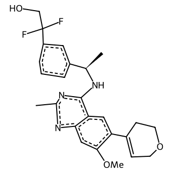 COc1cc2nc(C)nc(N[C@H](C)c3cccc(C(F)(F)CO)c3)c2cc1C1=CCOCC1